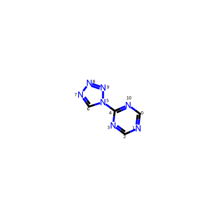 c1ncnc(-n2cnnn2)n1